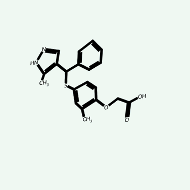 Cc1cc(SC(c2ccccc2)c2cn[nH]c2C)ccc1OCC(=O)O